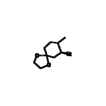 CC[C@H]1CC2(CCC1C)OCCO2